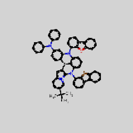 CC(C)(C)c1ccc2cc3c(n2c1)N(c1cccc2c1sc1ccccc12)c1cccc2c1B3c1ccc(N(c3ccccc3)c3ccccc3)cc1N2c1cccc2c1oc1ccccc12